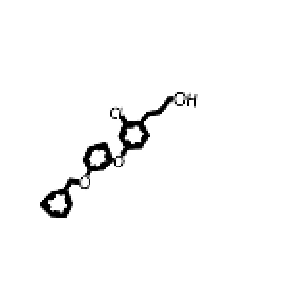 OCCCc1ccc(Oc2cccc(OCc3ccccc3)c2)cc1Cl